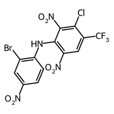 O=[N+]([O-])c1ccc(Nc2c([N+](=O)[O-])cc(C(F)(F)F)c(Cl)c2[N+](=O)[O-])c(Br)c1